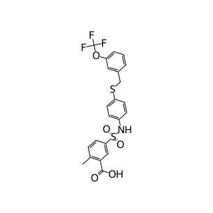 Cc1ccc(S(=O)(=O)Nc2ccc(SCc3cccc(OC(F)(F)F)c3)cc2)cc1C(=O)O